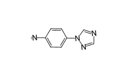 [N]c1ccc(-n2cncn2)cc1